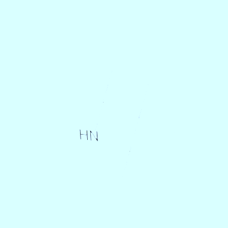 CC1(C)NC(C)(C)C1(C)C